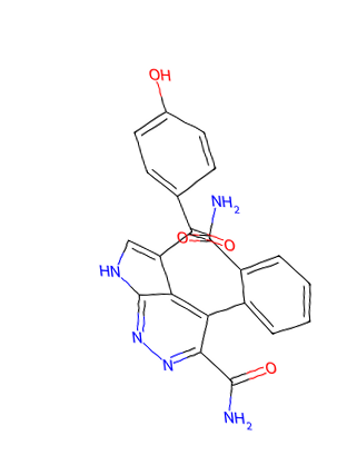 NC(=O)c1ccccc1-c1c(C(N)=O)nnc2[nH]cc(C(=O)c3ccc(O)cc3)c12